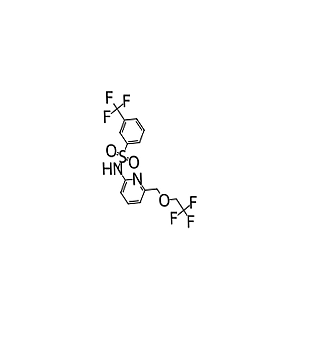 O=S(=O)(Nc1cccc(COCC(F)(F)F)n1)c1cccc(C(F)(F)F)c1